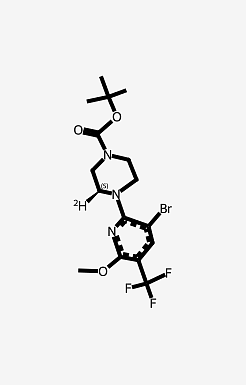 [2H][C@H]1CN(C(=O)OC(C)(C)C)CCN1c1nc(OC)c(C(F)(F)F)cc1Br